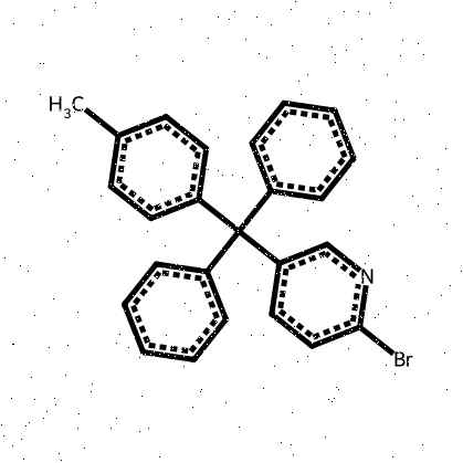 Cc1ccc(C(c2ccccc2)(c2ccccc2)c2ccc(Br)nc2)cc1